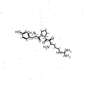 NC(N)NCCC[C@H](N)C(=O)C(=O)[C@@H]1CCCN1C(=O)[C@@H](N)Cc1ccc(O)cc1